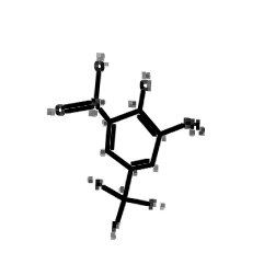 Bc1cc(C(F)(F)F)cc([N+](=O)[O-])c1Cl